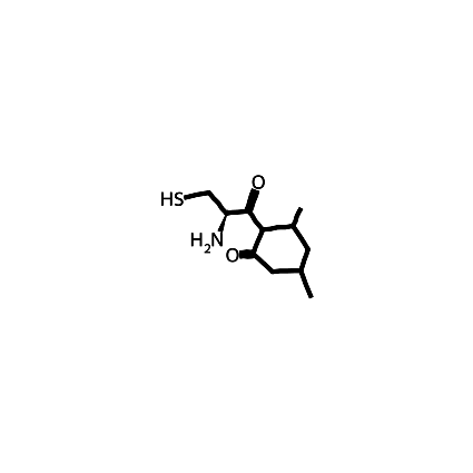 CC1CC(=O)C(C(=O)[C@@H](N)CS)C(C)C1